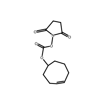 O=C(OC1CC/C=C\CCC1)ON1C(=O)CCC1=O